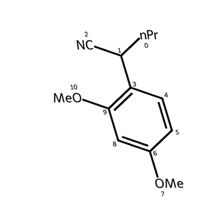 CCCC(C#N)c1ccc(OC)cc1OC